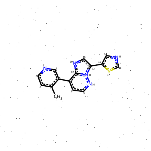 Cc1ccncc1-c1ccnn2c(-c3cncs3)cnc12